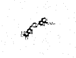 CCc1cc2ncc(CN3CCN(c4cnc5c(NC)nccc5c4)CC3)cc2[nH]c1=O